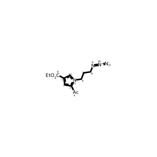 CCOC(=O)c1cc(C(C)=O)n(CCCN=[N+]=[N-])c1